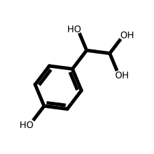 Oc1ccc(C(O)C(O)O)cc1